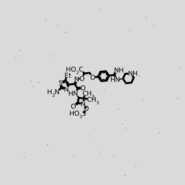 CCc1sc(N)nc1/C(=N/OC(COc1ccc(C(=N)N[C@@H]2CCCNC2)cc1)C(=O)O)C(=O)N[C@@H]1C(=O)N(OS(=O)(=O)O)C1(C)C